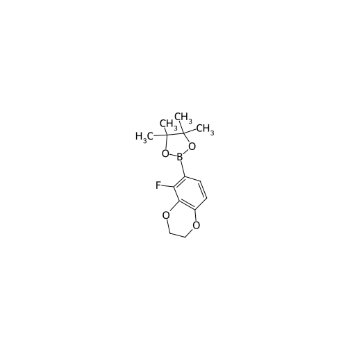 CC1(C)OB(c2ccc3c(c2F)OCCO3)OC1(C)C